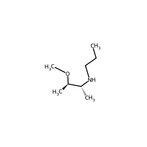 CCCN[C@H](C)[C@@H](C)OC